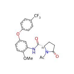 COc1ccc(Oc2ccc(C(F)(F)F)cc2)cc1NC(=O)[C@@H]1CCC(=O)N1C(C)=O